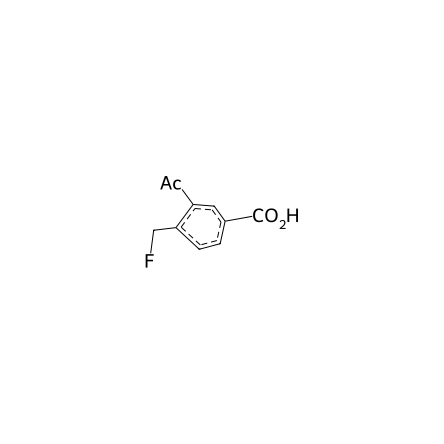 CC(=O)c1cc(C(=O)O)ccc1CF